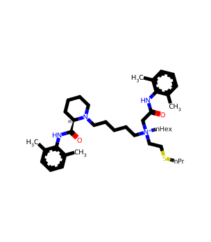 CCCCCC[N+](CCCCCN1CCCC[C@@H]1C(=O)Nc1c(C)cccc1C)(CCSCCC)CC(=O)Nc1c(C)cccc1C